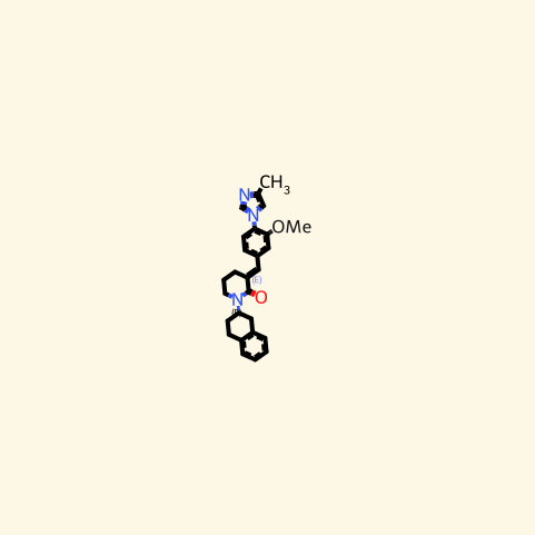 COc1cc(/C=C2\CCCN([C@@H]3CCc4ccccc4C3)C2=O)ccc1-n1cnc(C)c1